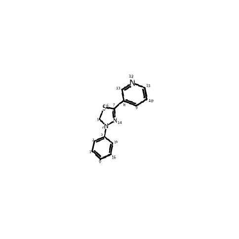 c1ccc(N2CSC(c3cccnc3)=N2)cc1